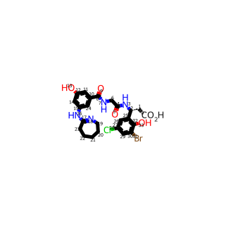 O=C(O)C[C@@H](NC(=O)CNC(=O)c1cc(O)cc(NC2=NCCCCC2)c1)c1cc(Cl)cc(Br)c1O